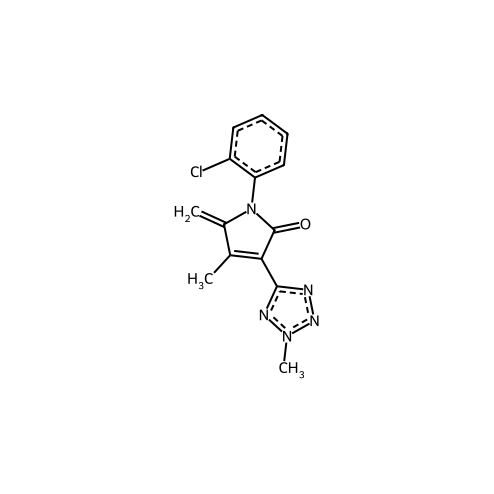 C=C1C(C)=C(c2nnn(C)n2)C(=O)N1c1ccccc1Cl